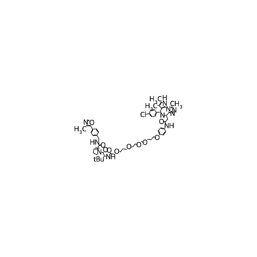 Cc1ncoc1-c1ccc(CNC(=O)[C@@H]2CCCN2C(=O)C(NC(=O)COCCCOCCOCOCCCOc2ccc(NC(=O)CC3N=C(c4ccc(Cl)cc4)c4c([nH]c(C)c4C)-n4c(C)nnc43)cc2)C(C)(C)C)cc1